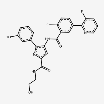 O=C(NCCO)c1cc(NC(=O)c2cc(-c3ncccc3F)ccc2Cl)n(-c2cccc(O)c2)n1